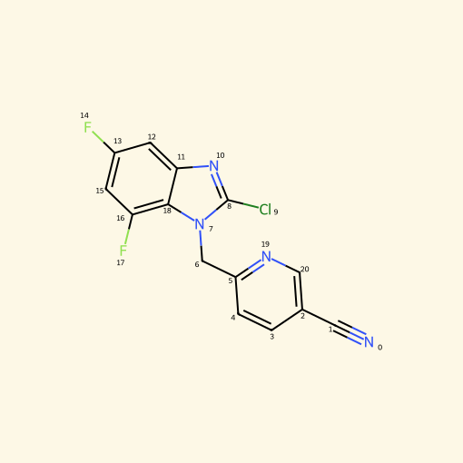 N#Cc1ccc(Cn2c(Cl)nc3cc(F)cc(F)c32)nc1